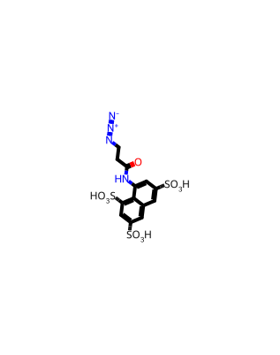 [N-]=[N+]=NCCC(=O)Nc1cc(S(=O)(=O)O)cc2cc(S(=O)(=O)O)cc(S(=O)(=O)O)c12